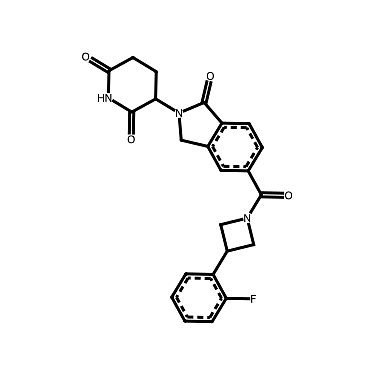 O=C1CCC(N2Cc3cc(C(=O)N4CC(c5ccccc5F)C4)ccc3C2=O)C(=O)N1